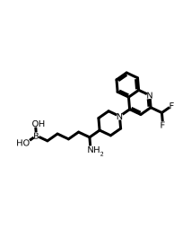 NC(CCCCB(O)O)C1CCN(c2cc(C(F)F)nc3ccccc23)CC1